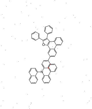 c1ccc(-c2ccccc2N(c2ccc(-c3ccc4c5ccccc5c5c(-c6ccccc6)c(-c6ccccc6)oc5c4c3)cc2)c2cccc3ccccc23)cc1